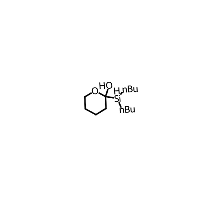 CCCC[SiH](CCCC)C1(O)CCCCO1